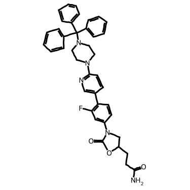 NC(=O)CCC1CN(c2ccc(-c3ccc(N4CCN(C(c5ccccc5)(c5ccccc5)c5ccccc5)CC4)nc3)c(F)c2)C(=O)O1